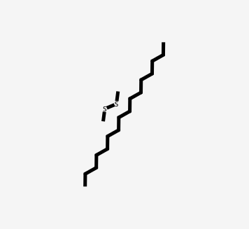 CCCCCCCCCCCCCCCC.CSSC